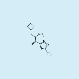 NC(CC1CCC1)C(=O)c1noc(C(F)(F)F)n1